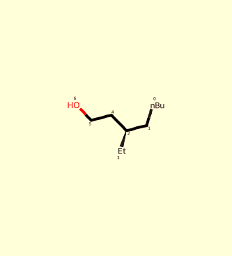 CCCCC[C@@H](CC)CCO